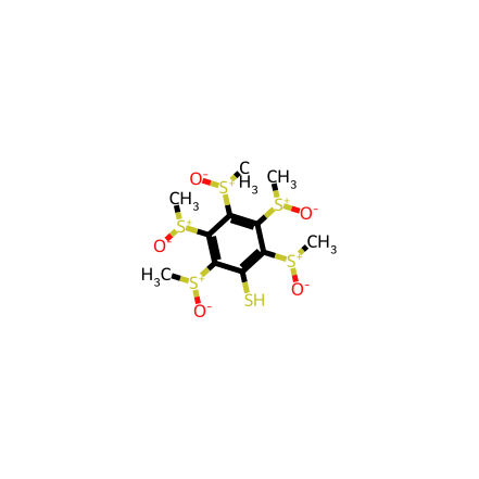 C[S+]([O-])c1c(S)c([S+](C)[O-])c([S+](C)[O-])c([S+](C)[O-])c1[S+](C)[O-]